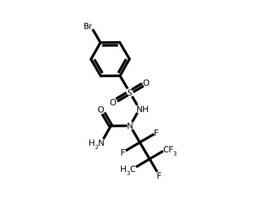 CC(F)(C(F)(F)F)C(F)(F)N(NS(=O)(=O)c1ccc(Br)cc1)C(N)=O